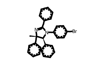 C[C@@]1(c2ccccc2)N=C(c2ccccc2)N(c2ccc(Br)cc2)[C@H]1c1ccccc1